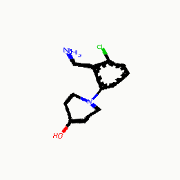 NCc1c(Cl)cccc1N1CCC(O)CC1